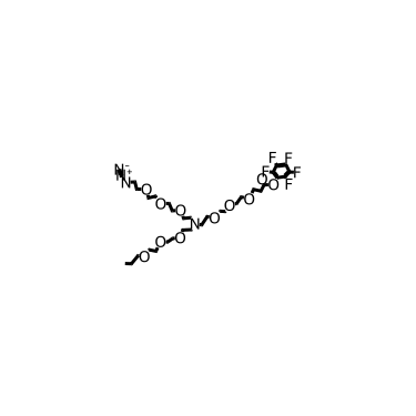 CCCOCCOCCOCCN(CCOCCOCCOCCN=[N+]=[N-])CCOCCOCCOCCC(=O)Oc1c(F)c(F)c(F)c(F)c1F